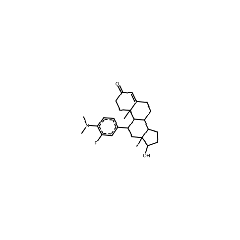 CN(C)c1ccc(C2CC3(C)C(O)CCC3C3CCC4=CC(=O)CCC4(C)C23)cc1F